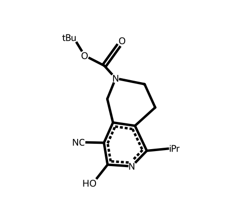 CC(C)c1nc(O)c(C#N)c2c1CCN(C(=O)OC(C)(C)C)C2